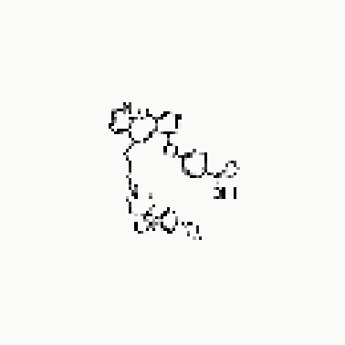 O=C(O)c1ccc(OC2C=CC=C3Oc4ncccc4C(=CCCN4CCC(O)(c5ccc(Cl)cc5)CC4)C=C32)cc1